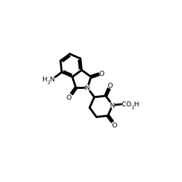 Nc1cccc2c1C(=O)N(C1CCC(=O)N(C(=O)O)C1=O)C2=O